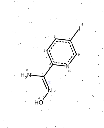 N/C(=N\O)c1ccc(I)cn1